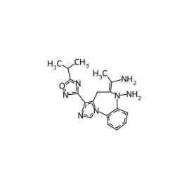 C/C(N)=C1\Cc2c(-c3noc(C(C)C)n3)ncn2-c2ccccc2N1N